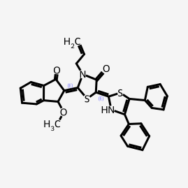 C=CCn1c(=O)/c(=C2/NC(c3ccccc3)=C(c3ccccc3)S2)s/c1=C1/C(=O)c2ccccc2C1OC